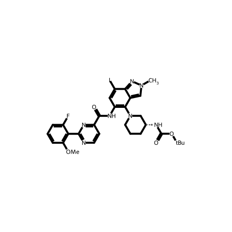 COc1cccc(F)c1-c1nccc(C(=O)Nc2cc(I)c3nn(C)cc3c2N2CCC[C@@H](NC(=O)OC(C)(C)C)C2)n1